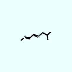 C/N=C/C=N/CC(C)C